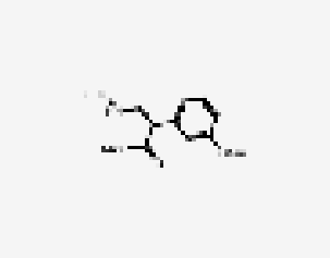 COC(=O)C(CNC=O)c1cccc(OC)c1